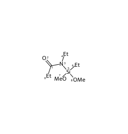 CCC(=O)N(CC)[Si](CC)(OC)OC